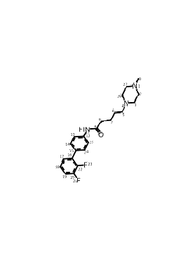 CN1CCN(CCCCC(=O)Nc2ccc(-c3cccc(F)c3F)cc2)CC1